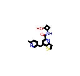 Cc1ccc(Cc2cc(C(=O)N[C@@H]3CC[C@H]3O)nc3ccsc23)cn1